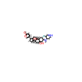 CN(C1CCNC[C@@H]1F)[C@H]1CC[C@]2(C)[C@H]3CC[C@]4(C)[C@@H](c5ccc(=O)oc5)CC[C@]4(O)[C@@H]3CC[C@]2(O)C1